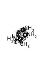 CCc1nc(C(N)=O)c(Nc2ccn(C3CCN(C)CC3)n2)nc1Oc1cccc(N)c1